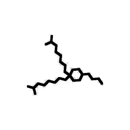 CCCCC1CCC(CCCCCCC(C)C)(CCCCCCC(C)C)CC1